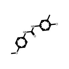 COc1ccc(NC(=O)Nc2ccc(Cl)c(C)c2)cc1